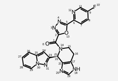 O=C(c1nnc(-c2ccc(F)cn2)o1)N1CCc2[nH]cnc2[C@H]1c1cc2ccccn2n1